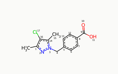 Cc1nn(Cc2ccc(C(=O)O)cc2)c(C)c1Cl